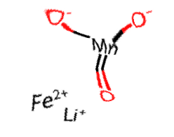 [Fe+2].[Li+].[O]=[Mn]([O-])[O-]